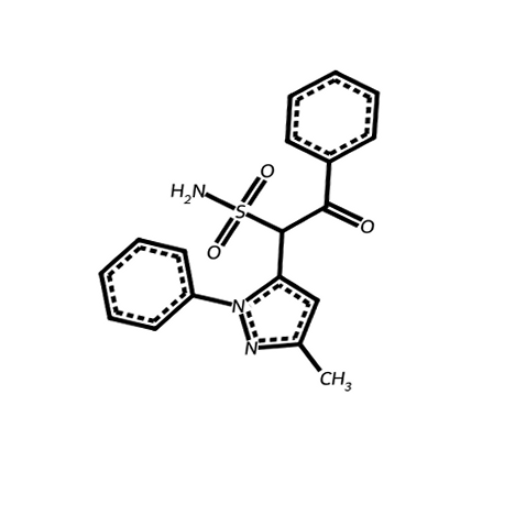 Cc1cc(C(C(=O)c2ccccc2)S(N)(=O)=O)n(-c2ccccc2)n1